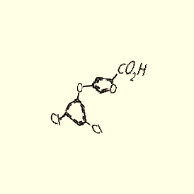 O=C(O)c1cc(Oc2cc(Cl)cc(Cl)c2)co1